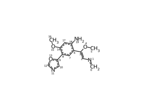 C=N/C=C(\OC)c1cc(-c2cnco2)c(OC)cc1N